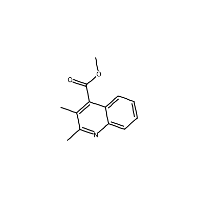 COC(=O)c1c(C)c(C)nc2ccccc12